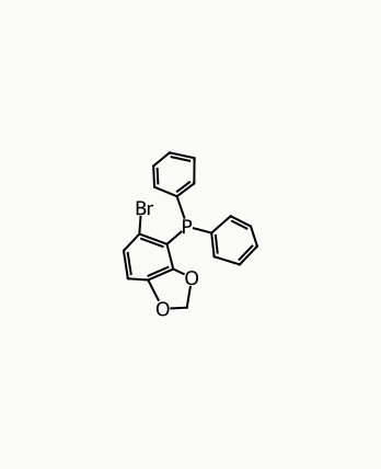 Brc1ccc2c(c1P(c1ccccc1)c1ccccc1)OCO2